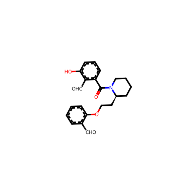 O=Cc1ccccc1OCC[C@@H]1CCCCN1C(=O)c1cccc(O)c1C=O